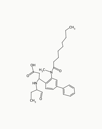 CCCCCCCCC(=O)N(C)c1cc(-c2ccccc2)ccc1C(CC(=O)O)NC(C=O)CC